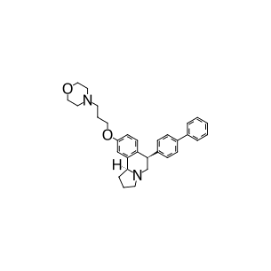 c1ccc(-c2ccc([C@H]3CN4CCC[C@H]4c4cc(OCCCN5CCOCC5)ccc43)cc2)cc1